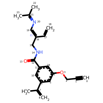 C#CCOc1cc(C(=C)C)cc(C(=O)NC/C(C=C)=C/N=C(C)C)c1